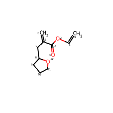 C=COC(=O)C(=C)CC1CCCO1